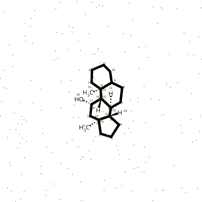 C[C@@]12CCC[C@H]1[C@@H]1CCC3CCCC[C@]3(C)[C@H]1[C@@H](O)C2